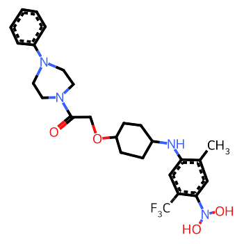 Cc1cc(N(O)O)c(C(F)(F)F)cc1NC1CCC(OCC(=O)N2CCN(c3ccccc3)CC2)CC1